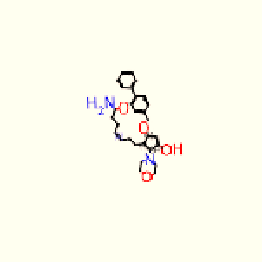 NC(=O)CC/C=C\CC[C@@H]1[C@@H](N2CCOCC2)[C@@H](O)C[C@@H]1OCc1ccc(-c2ccccc2)cc1